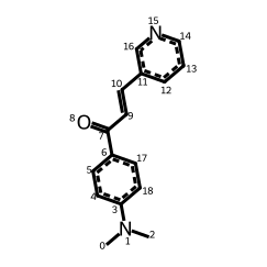 CN(C)c1ccc(C(=O)C=Cc2cccnc2)cc1